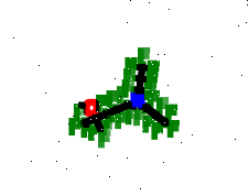 COC(C(F)(F)F)(C(F)(F)F)C(F)(F)C(F)(F)C(F)(F)N(C(F)(F)C(F)(F)C(F)(F)F)C(F)(F)C(F)(F)C(F)(F)F